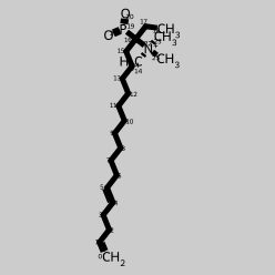 C=CCCC=CCCCCCCCCCCC(CC)(P(=O)=O)[N+](C)(C)C